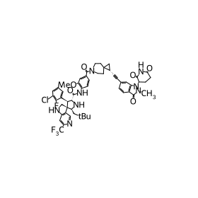 COc1cc(C(=O)N2CCC3(CC2)C[C@@H]3C#Cc2ccc3c(=O)n(C)n(C4CCC(=O)NC4=O)c3c2)ccc1NC(=O)[C@@H]1N[C@@H](CC(C)(C)C)[C@@]2(CNc3cc(C(F)(F)F)ncc32)[C@H]1c1cccc(Cl)c1F